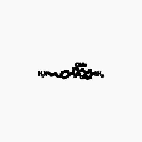 COc1nc(N2CCN(CCCCN)CC2)nc(OC)c1Sc1nccc(N)n1